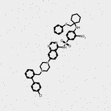 O=[N+]([O-])c1cc(S(=O)(=O)Nc2ncnc3cc(N4CCN(Cc5ccccc5-c5ccc(Cl)cc5)CC4)ccc23)ccc1NC1(CSc2ccccc2)CCCCC1